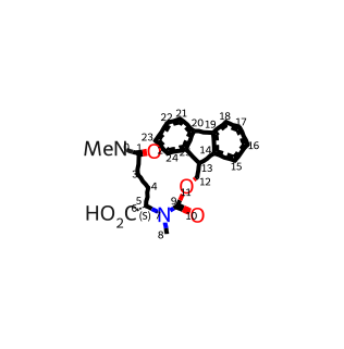 CNC(=O)CC[C@@H](C(=O)O)N(C)C(=O)OCC1c2ccccc2-c2ccccc21